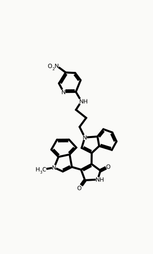 Cn1cc(C2=C(c3cn(CCCNc4ccc([N+](=O)[O-])cn4)c4ccccc34)C(=O)NC2=O)c2ccccc21